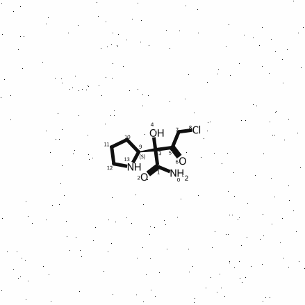 NC(=O)C(O)(C(=O)CCl)[C@@H]1CCCN1